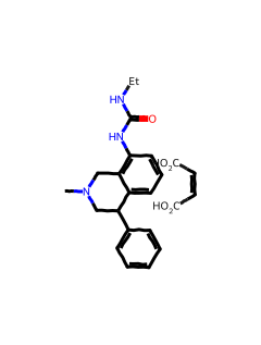 CCNC(=O)Nc1cccc2c1CN(C)CC2c1ccccc1.O=C(O)/C=C\C(=O)O